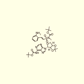 CC(C)(C)OC(=O)Nc1ncnc2c1ncn2[C@@H]1O[C@H](CN(C(=O)OC(C)(C)C)S(=O)(=O)/C=C/c2ccccc2N)[C@H]2OC(C)(C)O[C@H]21